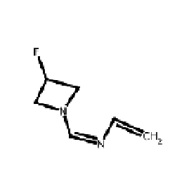 C=C/N=C\N1CC(F)C1